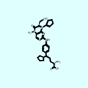 CC[C@@H]1C(=O)N(C)c2cnc(Nc3ccc(/C(=C/C[C@H](N)C(=O)O)C4CCCC4)cc3)nc2N1C1CCCC1